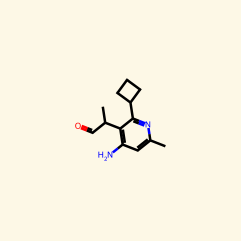 Cc1cc(N)c(C(C)C=O)c(C2CCC2)n1